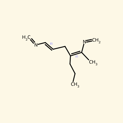 C=N/C=C/C/C(CCC)=C(/C)N=C